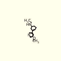 CCNC1CCC=C(c2cncc(OC)c2)C1